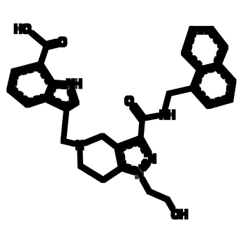 O=C(NCc1cccc2ccccc12)c1nn(CCO)c2c1CN(Cc1c[nH]c3c(C(=O)O)cccc13)CC2